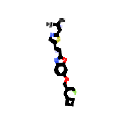 C/C(C#N)=C\c1ncc(/C=C/c2nc3ccc(OCC(CF)CC4CCC4)cc3o2)s1